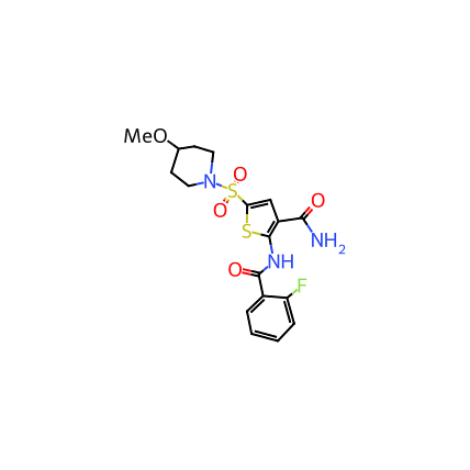 COC1CCN(S(=O)(=O)c2cc(C(N)=O)c(NC(=O)c3ccccc3F)s2)CC1